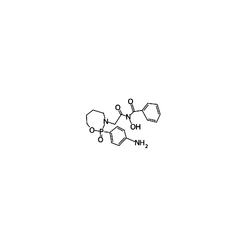 Nc1ccc(P2(=O)OCCCCN2CC(=O)N(O)C(=O)c2ccccc2)cc1